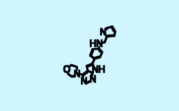 c1ccc(CNc2ccc(-c3cc4c(N5CCOCC5)ncnc4[nH]3)cc2)nc1